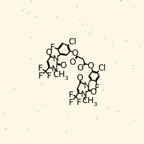 Cn1c(C(F)(F)F)cc(=O)n(-c2cc(OC(=O)CC(=O)Oc3cc(-n4c(=O)cc(C(F)(F)F)n(C)c4=O)c(F)cc3Cl)c(Cl)cc2F)c1=O